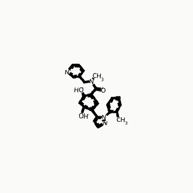 Cc1ccccc1-n1nccc1-c1cc(C(=O)N(C)Cc2cccnc2)c(O)cc1O